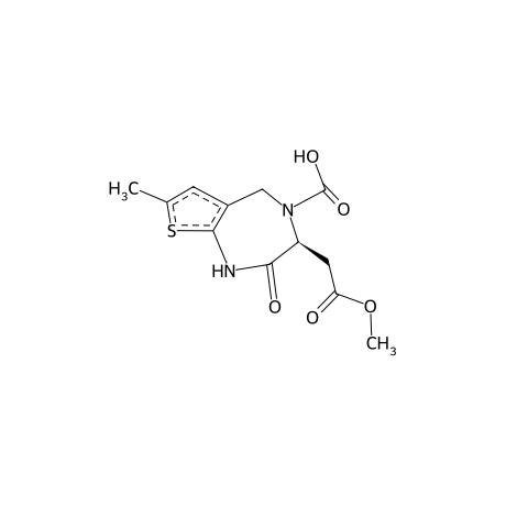 COC(=O)C[C@H]1C(=O)Nc2sc(C)cc2CN1C(=O)O